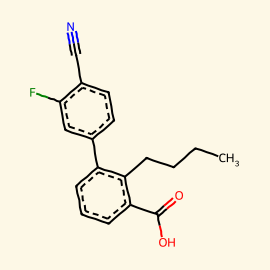 CCCCc1c(C(=O)O)cccc1-c1ccc(C#N)c(F)c1